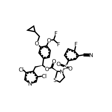 N#Cc1cc(S(=O)(=O)N2CCS[C@H]2C(=O)O[C@@H](Cc2c(Cl)cncc2Cl)c2ccc(OC(F)F)c(OCC3CC3)c2)ccc1F